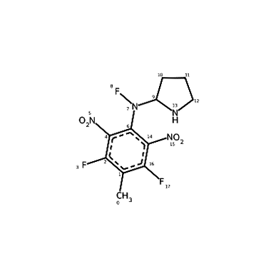 Cc1c(F)c([N+](=O)[O-])c(N(F)C2CCCN2)c([N+](=O)[O-])c1F